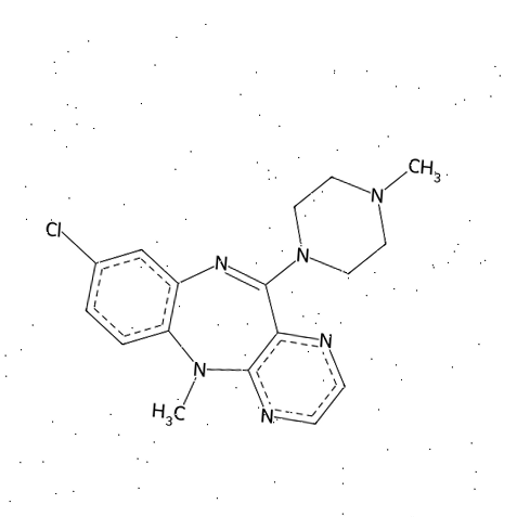 CN1CCN(C2=Nc3cc(Cl)ccc3N(C)c3nccnc32)CC1